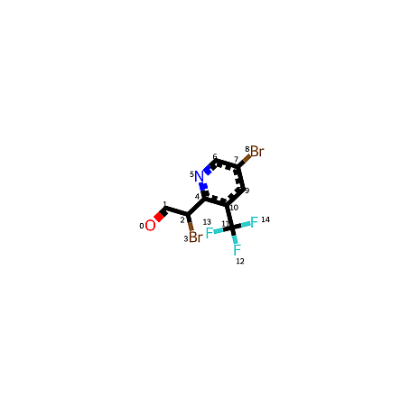 O=CC(Br)c1ncc(Br)cc1C(F)(F)F